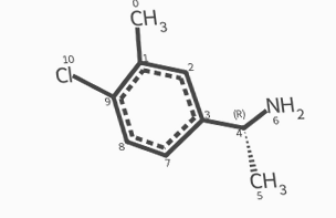 Cc1cc([C@@H](C)N)ccc1Cl